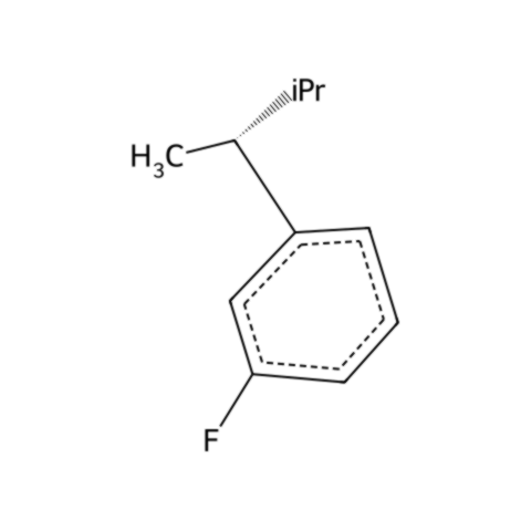 CC(C)[C@@H](C)c1cccc(F)c1